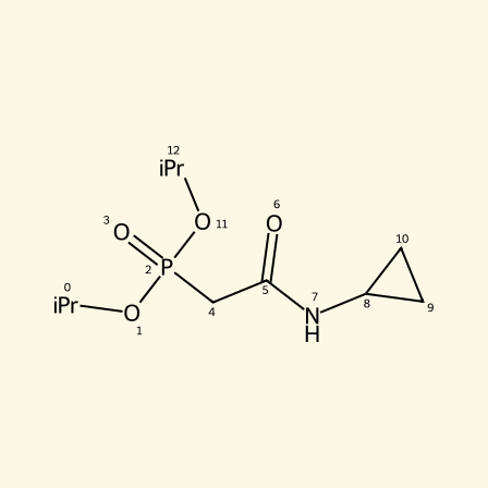 CC(C)OP(=O)(CC(=O)NC1CC1)OC(C)C